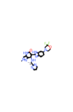 C[C@H](Nc1c(-c2nc3ccc(N4CCOC(F)(F)C4)cc3[nH]2)c(=O)[nH]c2cn(C)nc12)c1ncccn1